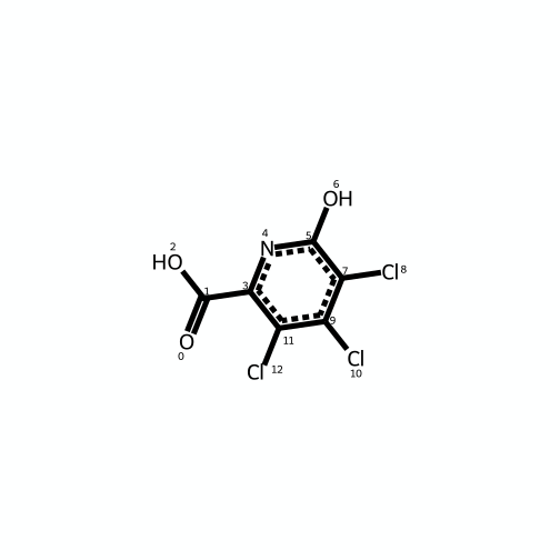 O=C(O)c1nc(O)c(Cl)c(Cl)c1Cl